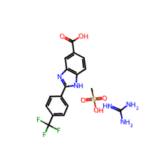 CS(=O)(=O)O.N=C(N)N.O=C(O)c1ccc2[nH]c(-c3ccc(C(F)(F)F)cc3)nc2c1